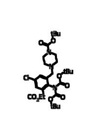 CCOC(=O)c1cc(Cl)cc(CN2CCN(C(=O)OC(C)(C)C)CC2)c1N(C(=O)OC(C)(C)C)C(=O)OC(C)(C)C